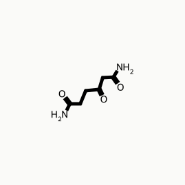 NC(=O)CCC(=O)CC(N)=O